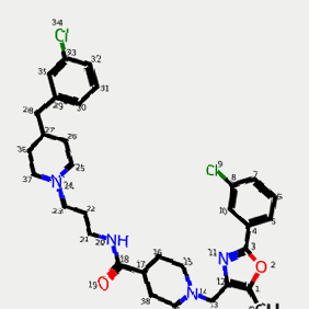 Cc1oc(-c2cccc(Cl)c2)nc1CN1CCC(C(=O)NCCCN2CCC(Cc3cccc(Cl)c3)CC2)CC1